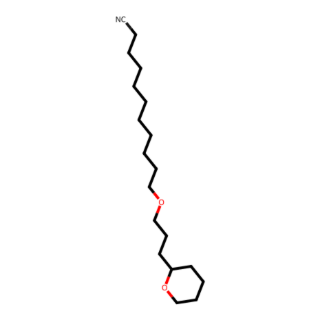 N#CCCCCCCCCCCOCCCC1CCCCO1